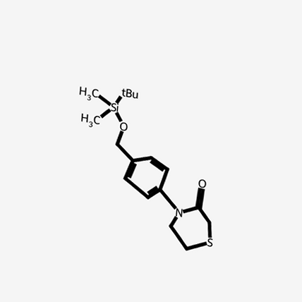 CC(C)(C)[Si](C)(C)OCc1ccc(N2CCSCC2=O)cc1